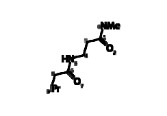 CNC(=O)CCNC(=O)CC(C)C